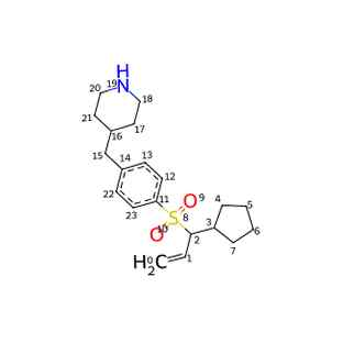 C=CC(C1CCCC1)S(=O)(=O)c1ccc(CC2CCNCC2)cc1